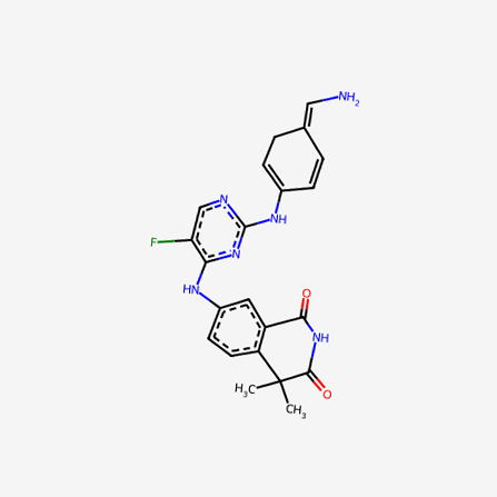 CC1(C)C(=O)NC(=O)c2cc(Nc3nc(NC4=CCC(=CN)C=C4)ncc3F)ccc21